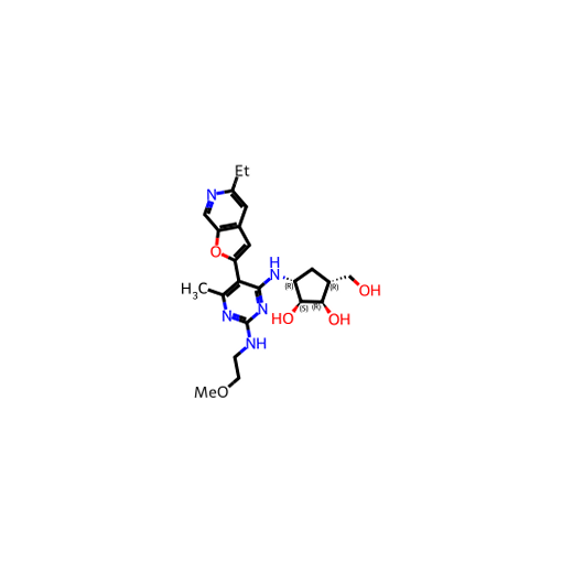 CCc1cc2cc(-c3c(C)nc(NCCOC)nc3N[C@@H]3C[C@H](CO)[C@@H](O)[C@H]3O)oc2cn1